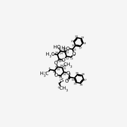 CCS[C@@H]1OC(CC)[C@@H](O[C@@H]2OC3COC(c4ccccc4)O[C@H]3[C@H](O)C2C)[C@H](C)C1OC(=O)c1ccccc1